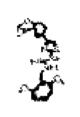 COc1cccc(OC)c1CNC(=N)Nc1nc(-c2ccc3c(c2)OCO3)cs1